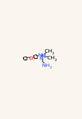 C=CCN(CC=C)C(=NCCCN)Nc1ccc(OCc2ccccc2)cc1